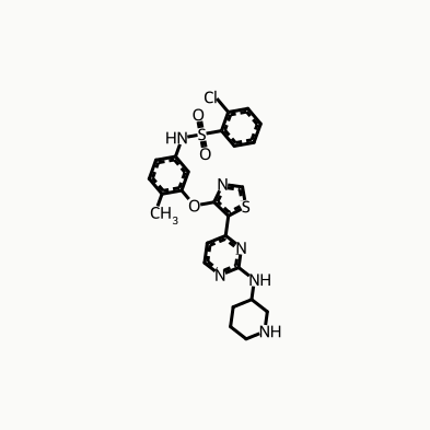 Cc1ccc(NS(=O)(=O)c2ccccc2Cl)cc1Oc1ncsc1-c1ccnc(NC2CCCNC2)n1